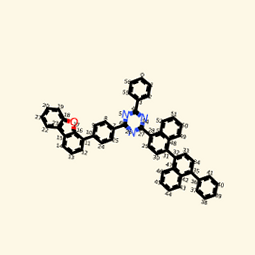 c1ccc(-c2nc(-c3ccc(-c4cccc5c4oc4ccccc45)cc3)nc(-c3ccc(-c4ccc(-c5ccccc5)c5ccccc45)c4ccccc34)n2)cc1